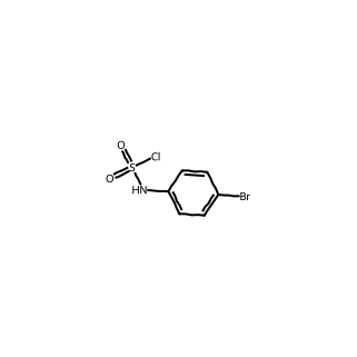 O=S(=O)(Cl)Nc1ccc(Br)cc1